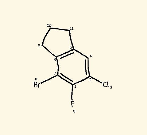 Fc1c(Cl)cc2c(c1Br)CCC2